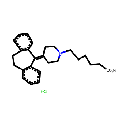 Cl.O=C(O)CCCCCN1CCC(=C2c3ccccc3CCc3ccccc32)CC1